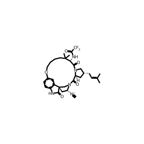 C#[N+][C@@H]1C[C@]23CN1C(=O)[C@@H]1C[C@@H](CC=C(C)C)CN1C(=O)[C@@H](NC(=O)C(F)(F)F)C(C)(C)CCCCOc1ccc(c2c1)NC3=O